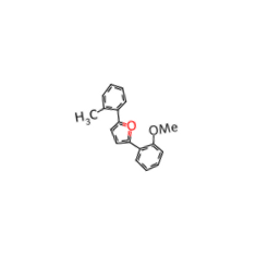 COc1ccccc1-c1ccc(-c2ccccc2C)o1